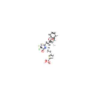 COC(=O)c1ccc(CCCN2C(=O)C(F)(F)CC2C=C[C@H](O)[C@@H](C)Cc2ccccc2)s1